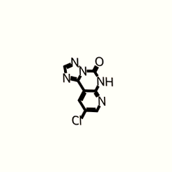 O=c1[nH]c2ncc(Cl)cc2c2ncnn12